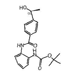 C[C@H](O)c1ccc(C(=O)Nc2ccccc2NC(=O)OC(C)(C)C)cc1